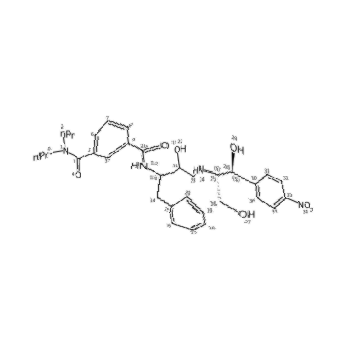 CCCN(CCC)C(=O)c1cccc(C(=O)NC(Cc2ccccc2)C(O)CN[C@@H](CO)[C@@H](O)c2ccc([N+](=O)[O-])cc2)c1